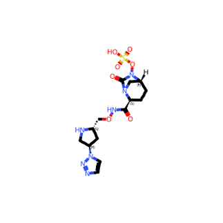 O=C(NOC[C@@H]1C[C@@H](n2ccnn2)CN1)[C@@H]1CC[C@@H]2CN1C(=O)N2OS(=O)(=O)O